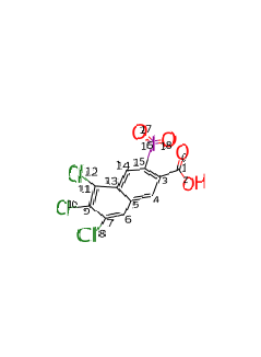 O=C(O)c1cc2cc(Cl)c(Cl)c(Cl)c2cc1I(=O)=O